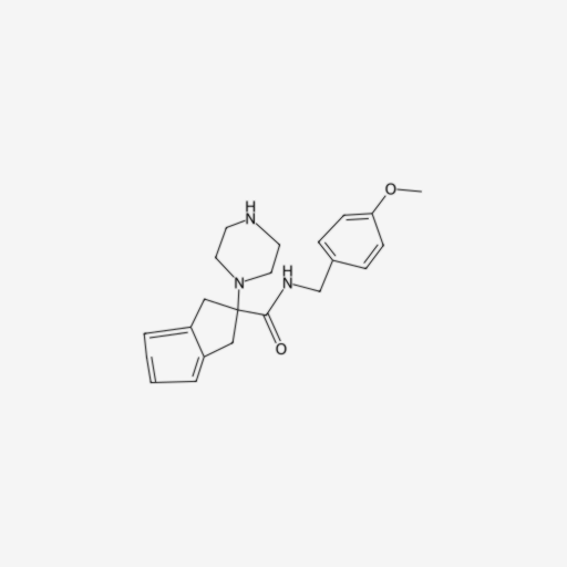 COc1ccc(CNC(=O)C2(N3CCNCC3)Cc3ccccc3C2)cc1